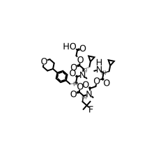 CN[C@@H](CC1CC1)C(=O)OCC(=O)N(C)[C@@H](CC(C)(C)F)C(=O)O[C@H](Cc1ccc(C2CCOCC2)cc1)C(=O)N(C)[C@@H](CC1CC1)C(=O)OCC(=O)O